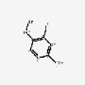 CSc1ncc(NC(C)C)c(Cl)n1